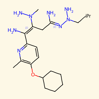 Cc1nc(/C(N)=C(\C/C(N)=N/N(N)CC(C)C)N(C)N)ccc1OC1CCCCC1